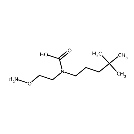 CC(C)(C)CCCN(CCON)C(=O)O